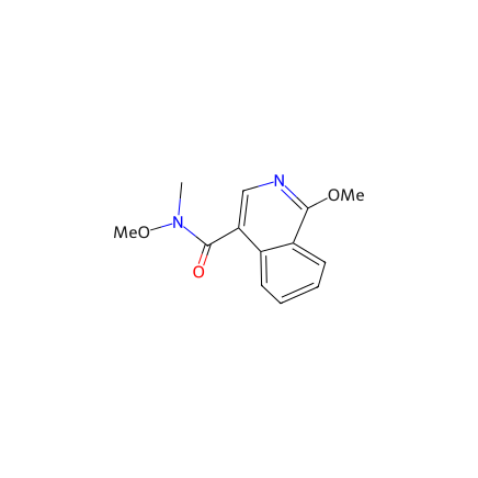 COc1ncc(C(=O)N(C)OC)c2ccccc12